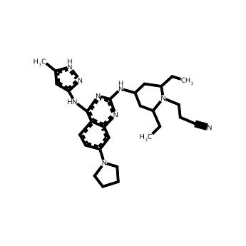 CCC1CC(Nc2nc(Nc3cc(C)[nH]n3)c3ccc(N4CCCC4)cc3n2)CC(CC)N1CCC#N